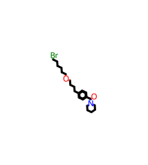 O=C(c1ccc(CCCCOCCCCCCBr)cc1)N1CCCCC1